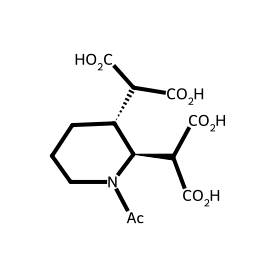 CC(=O)N1CCC[C@H](C(C(=O)O)C(=O)O)[C@H]1C(C(=O)O)C(=O)O